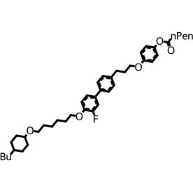 CCCCCC(=O)Oc1ccc(OCCCc2ccc(-c3ccc(OCCCCCCOC4CCC(CCCC)CC4)c(F)c3)cc2)cc1